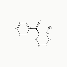 O=C(c1ccccc1)[C@@H]1CCCC[C@H]1O